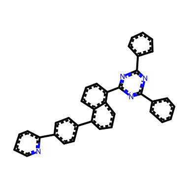 c1ccc(-c2nc(-c3ccccc3)nc(-c3cccc4c(-c5ccc(-c6ccccn6)cc5)cccc34)n2)cc1